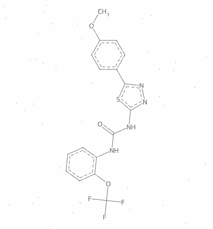 COc1ccc(-c2nnc(NC(=O)Nc3ccccc3OC(F)(F)F)s2)cc1